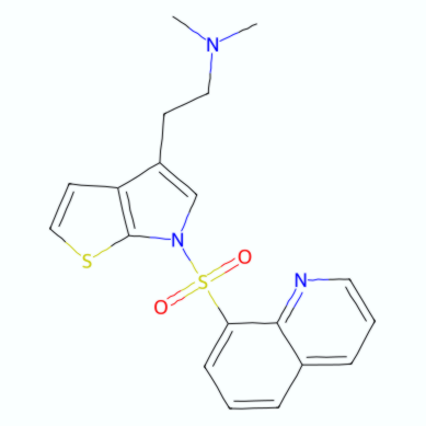 CN(C)CCc1cn(S(=O)(=O)c2cccc3cccnc23)c2sccc12